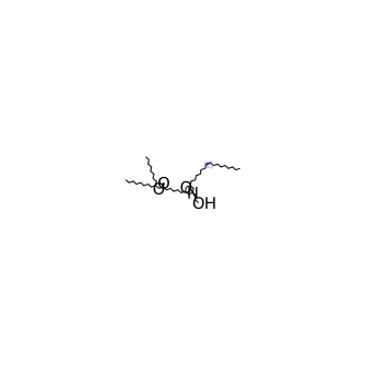 CCCCCCCC/C=C\CCCCCCC1CN(CCO)CC(CCCCCC(=O)OC(CCCCCCCC)CCCCCCCC)O1